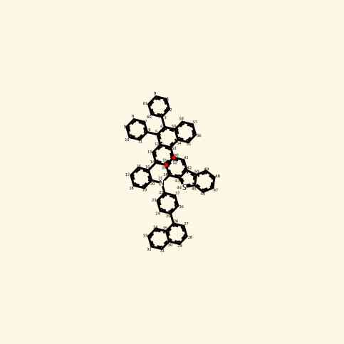 c1ccc(-c2c(-c3ccccc3)c3cc(-c4ccccc4N(c4ccc(-c5cccc6ccccc56)cc4)c4cccc5c4sc4ccccc45)ccc3c3ccccc23)cc1